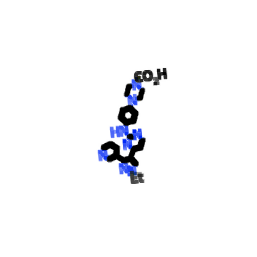 CCn1cc(-c2ccnc(Nc3ccc(N4CCN(C(=O)O)CC4)cc3)n2)c(-c2cccnc2)n1